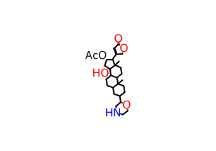 CC(=O)OC1CC2(O)C3CCC4CC(C5CNCCO5)CCC4(C)C3CCC2(C)C1C1=CC(=O)OC1